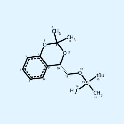 CC1(C)Oc2ccccc2[C@@H](CO[Si](C)(C)C(C)(C)C)O1